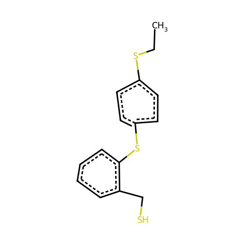 CCSc1ccc(Sc2ccccc2CS)cc1